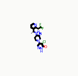 C[C@H](c1cccnc1CC(F)F)n1nnc2c1CCN(c1cn[nH]c(=O)c1Cl)C2